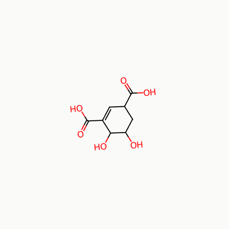 O=C(O)C1=CC(C(=O)O)CC(O)C1O